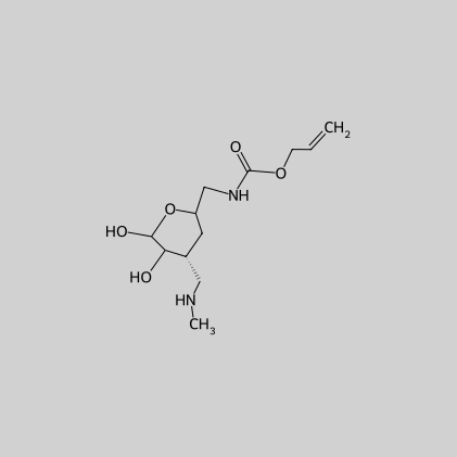 C=CCOC(=O)NCC1C[C@H](CNC)C(O)C(O)O1